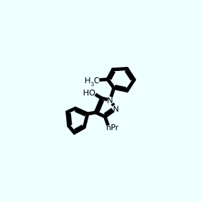 CCCc1nn(-c2ccccc2C)c(O)c1-c1ccccc1